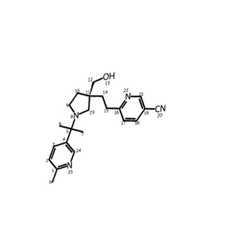 Cc1ccc(C(C)(C)N2CC[C@](CO)(CCc3ccc(C#N)cn3)C2)cn1